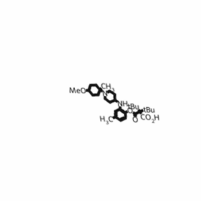 COC1CCC(C)(N2CCC(Nc3cc(C)ccc3OC(=O)C(C(=O)O)(C(C)(C)C)C(C)(C)C)CC2)CC1